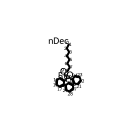 CCCCCCCCCCCCCCCCCC(=O)OP(CC)(c1ccccc1)(c1ccccc1)c1ccccc1